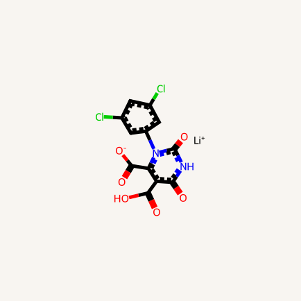 O=C(O)c1c(C(=O)[O-])n(-c2cc(Cl)cc(Cl)c2)c(=O)[nH]c1=O.[Li+]